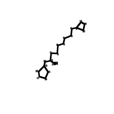 SC(CCCCCCCC1CCC1)CC1CCCC1